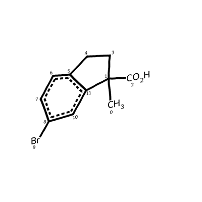 CC1(C(=O)O)CCc2ccc(Br)cc21